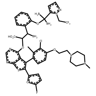 BC(c1ccccc1OC(B)(B)c1ccnn1CC(F)(F)F)C(Oc1ncnc2sc(-c3ccc(F)o3)c(-c3ccc(OCCN4CCN(C)CC4)c(Cl)c3C)c12)C(=O)O